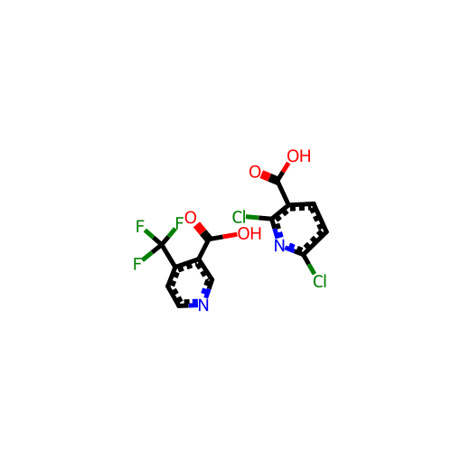 O=C(O)c1ccc(Cl)nc1Cl.O=C(O)c1cnccc1C(F)(F)F